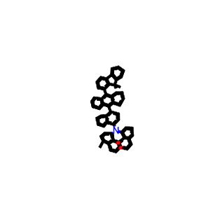 Cc1ccc(N(c2cccc3ccccc23)c2ccc(-c3c4ccccc4c(-c4cccc5c4C(C)(C)c4ccccc4-5)c4ccccc34)c3ccccc23)c2ccccc12